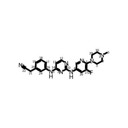 CN1CCN(c2ncc(Nc3nccc(Nc4cccc(CC#N)c4)n3)cc2F)CC1